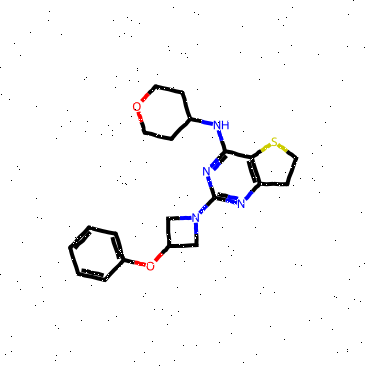 c1ccc(OC2CN(c3nc4c(c(NC5CCOCC5)n3)SCC4)C2)cc1